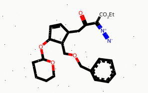 CCOC(=O)C(=[N+]=[N-])C(=O)CC1C=CC(OC2CCCCO2)C1COCc1ccccc1